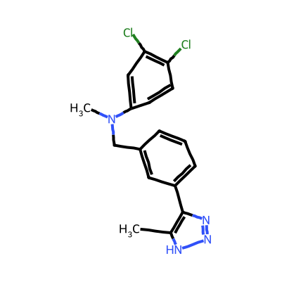 Cc1[nH]nnc1-c1cccc(CN(C)c2ccc(Cl)c(Cl)c2)c1